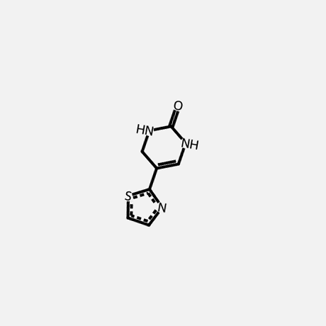 O=C1NC=C(c2nccs2)CN1